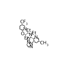 CCC(Oc1ccc(C(F)(F)F)cn1)C(CC)N(CC)C(=O)c1ncc(C)cc1-n1nccn1